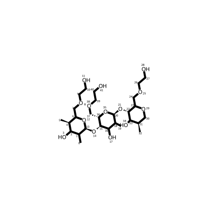 CC1C(O)[C@@H](C)C(COCCO)O[C@H]1O[C@H]1C(O)C(C)[C@H](O[C@@H]2C(COCCO)OC[C@@H](C)C2O)O[C@H]1COCCO